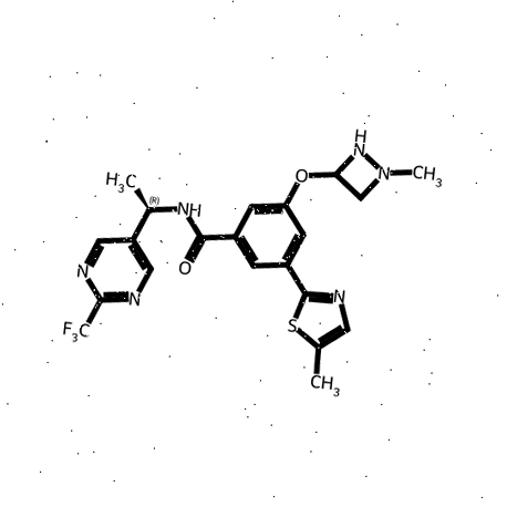 Cc1cnc(-c2cc(OC3CN(C)N3)cc(C(=O)N[C@H](C)c3cnc(C(F)(F)F)nc3)c2)s1